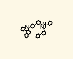 c1ccc(-c2cccc(-c3cc(-c4ccccc4)nc(-c4cccc(-c5ccc(-c6nc7ccccc7c7c6ccc6ccccc67)cc5)c4)n3)c2)cc1